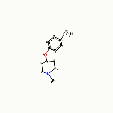 CCN1CCC(Oc2ccc(C(=O)O)cc2)CC1